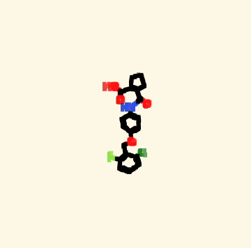 O=C(O)C1=C(C(=O)Nc2ccc(OCc3c(F)cccc3Cl)cc2)CCC1